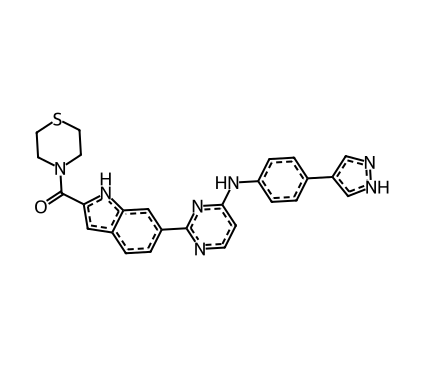 O=C(c1cc2ccc(-c3nccc(Nc4ccc(-c5cn[nH]c5)cc4)n3)cc2[nH]1)N1CCSCC1